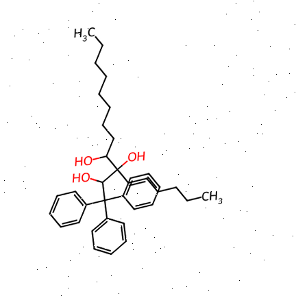 CCCCC=CC(O)(C(O)CCCCCCCC)C(O)C(c1ccccc1)(c1ccccc1)c1ccccc1